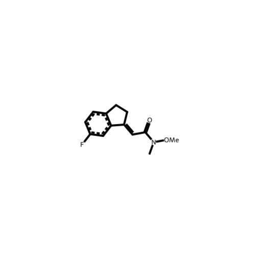 CON(C)C(=O)C=C1CCc2ccc(F)cc21